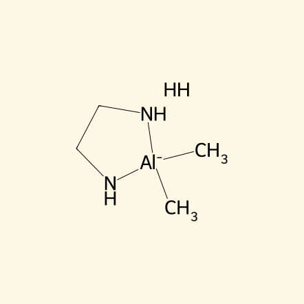 [CH3][Al-]1([CH3])[NH]CC[NH]1.[HH]